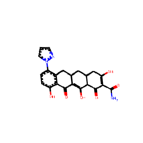 NC(=O)C1=C(O)CC2CC3Cc4c(-n5cccn5)ccc(O)c4C(=O)C3=C(O)C2C1=O